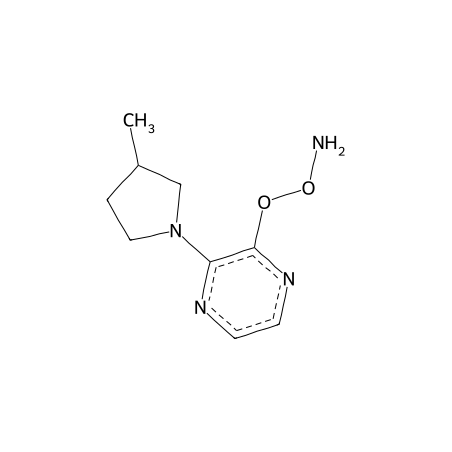 CC1CCN(c2nccnc2OON)C1